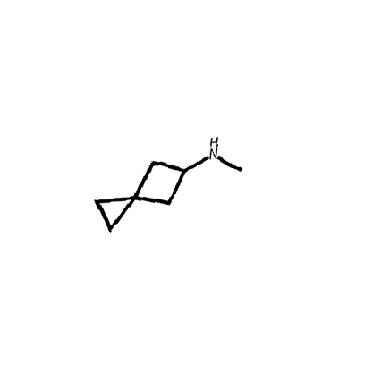 CNC1CC2(CC2)C1